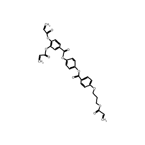 C=CC(=O)OCCCOc1ccc(C(=O)Oc2ccc(OC(=O)c3ccc(OC(=O)C=C)c(OC(=O)C=C)c3)cc2)cc1